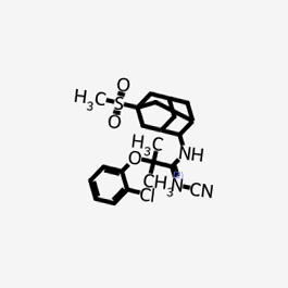 CC(C)(Oc1ccccc1Cl)/C(=N/C#N)NC1C2CC3CC1CC(S(C)(=O)=O)(C3)C2